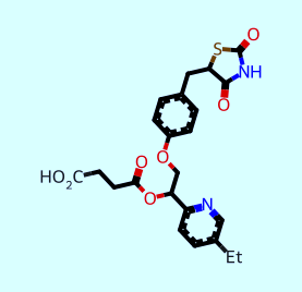 CCc1ccc(C(COc2ccc(CC3SC(=O)NC3=O)cc2)OC(=O)CCC(=O)O)nc1